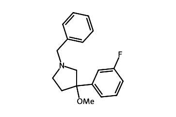 COC1(c2cccc(F)c2)CCN(Cc2ccccc2)C1